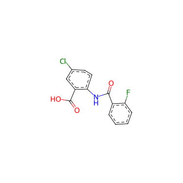 O=C(Nc1ccc(Cl)cc1C(=O)O)c1ccccc1F